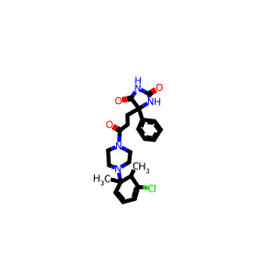 CC1C(Cl)=CC=CC1(C)N1CCN(C(=O)CCC2(c3ccccc3)NC(=O)NC2=O)CC1